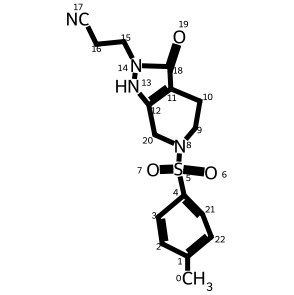 Cc1ccc(S(=O)(=O)N2CCc3c([nH]n(CCC#N)c3=O)C2)cc1